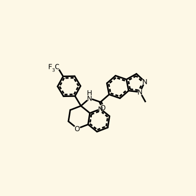 Cn1ncc2ccc(C(=O)NC3(c4ccc(C(F)(F)F)cc4)CCOc4cccnc43)cc21